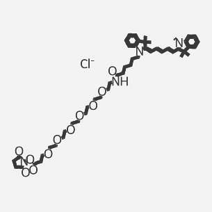 C[N+]1=C(/C=C/C=C/C=C2/N(CCCCCC(=O)NCCOCCOCCOCCOCCOCCOCCC(=O)ON3C(=O)CCC3=O)c3ccccc3C2(C)C)C(C)(C)c2ccccc21.[Cl-]